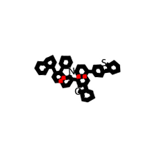 c1ccc(-c2cccc3ccccc23)c(-c2ccccc2N(c2ccc(-c3ccc4c(c3)sc3ccccc34)cc2)c2ccccc2-c2cccc3c2oc2ccccc23)c1